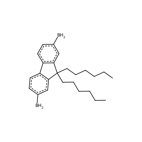 Bc1ccc2c(c1)C(CCCCCC)(CCCCCC)c1cc(B)ccc1-2